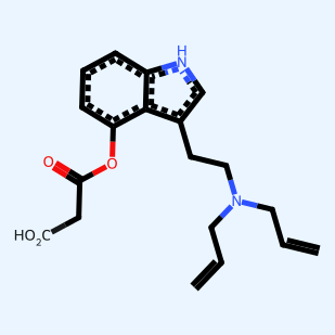 C=CCN(CC=C)CCc1c[nH]c2cccc(OC(=O)CC(=O)O)c12